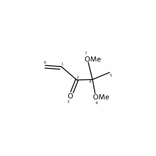 C=CC(=O)C(C)(OC)OC